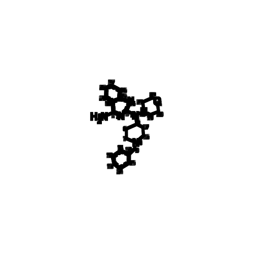 Nc1nc(N(C2CCN(Cc3ccccc3)CC2)N2CCOCC2)nc2ccccc12